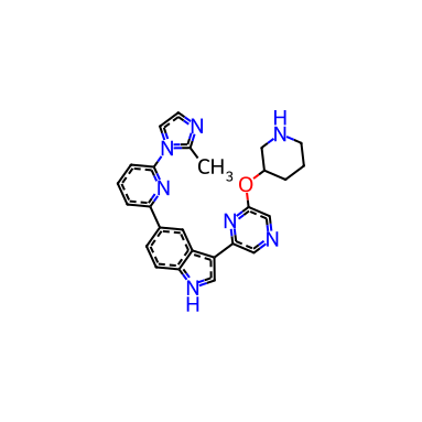 Cc1nccn1-c1cccc(-c2ccc3[nH]cc(-c4cncc(OC5CCCNC5)n4)c3c2)n1